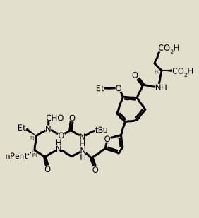 CCCCC[C@@H](C(=O)NCNC(=O)c1ccc(-c2ccc(C(=O)N[C@@H](CC(=O)O)C(=O)O)c(OCC)c2)o1)[C@@H](CC)N(C=O)OC(=O)NC(C)(C)C